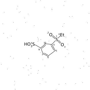 CCS(=O)(=O)c1cccc(S(=O)(=O)O)c1